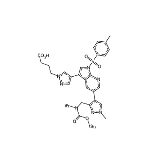 Cc1ccc(S(=O)(=O)n2cc(-c3cnn(CCCC(=O)O)c3)c3cc(-c4cn(C)nc4CN(C(=O)OC(C)(C)C)C(C)C)cnc32)cc1